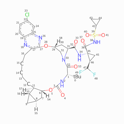 CC(C)(C)[C@@H]1NC(=O)O[C@@H]2C[C@H]3C[C@@H]3[C@H]2CCCCCc2nc3ccc(Cl)cc3nc2O[C@@H]2C[C@@H](C(=O)N[C@]3(C(=O)NS(=O)(=O)C4CC4)C[C@H]3C(F)F)N(C2)C1=O